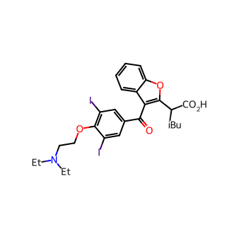 CCC(C)C(C(=O)O)c1oc2ccccc2c1C(=O)c1cc(I)c(OCCN(CC)CC)c(I)c1